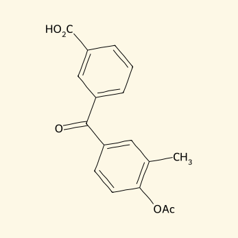 CC(=O)Oc1ccc(C(=O)c2cccc(C(=O)O)c2)cc1C